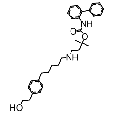 CC(C)(CCNCCCCCc1ccc(CCO)cc1)OC(=O)Nc1ccccc1-c1ccccc1